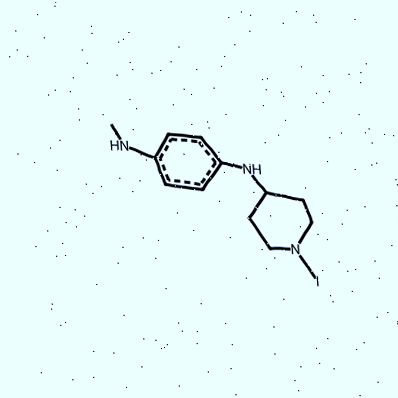 CNc1ccc(NC2CCN(I)CC2)cc1